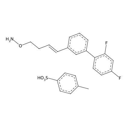 Cc1ccc(S(=O)(=O)O)cc1.NOCCC=Cc1cccc(-c2ccc(F)cc2F)c1